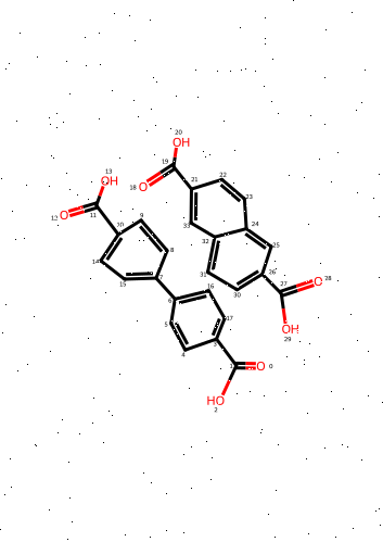 O=C(O)c1ccc(-c2ccc(C(=O)O)cc2)cc1.O=C(O)c1ccc2cc(C(=O)O)ccc2c1